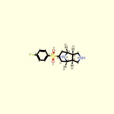 O=S(=O)(c1ccc(F)cc1)C1C[C@@H]2N[C@H](C1)[C@@H]1CNC[C@@H]12